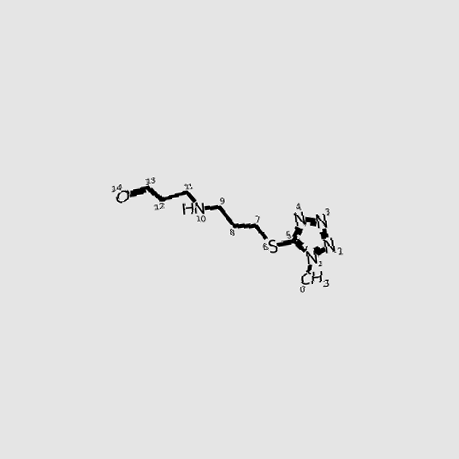 Cn1nnnc1SCCCNCCC=O